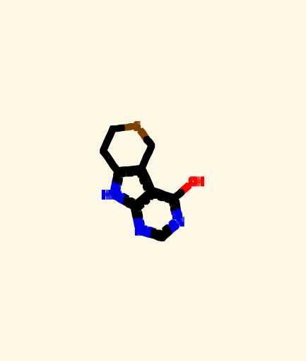 Oc1ncnc2[nH]c3c(c12)CSCC3